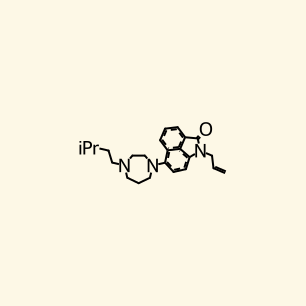 C=CCN1C(=O)c2cccc3c(N4CCCN(CCC(C)C)CC4)ccc1c23